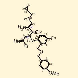 COc1ccc(COCc2cc(F)ccc2N/C(=C\C(=N)Cl)C(O)/C(N)=C/NCC2CC2)cc1